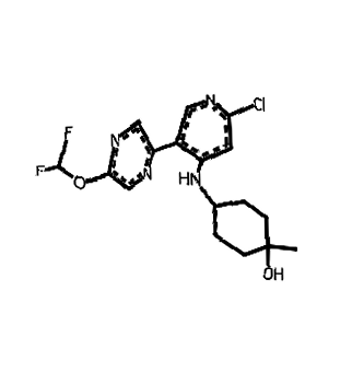 CC1(O)CCC(Nc2cc(Cl)ncc2-c2cnc(OC(F)F)cn2)CC1